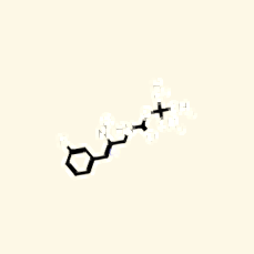 CC(C)(C)OC(=O)NC/C(=C/c1cccc(F)c1)N=O